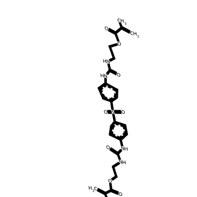 C=C(C)C(=O)OCCNC(=O)Nc1ccc(S(=O)(=O)c2ccc(NC(=O)NCCOC(=O)C(=C)C)cc2)cc1